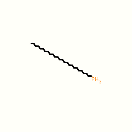 CCCCCCCCCCCCCCCCCCCCCCCCC=CP